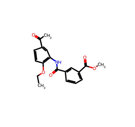 CCOc1ccc(C(C)=O)cc1NC(=O)c1cccc(C(=O)OC)c1